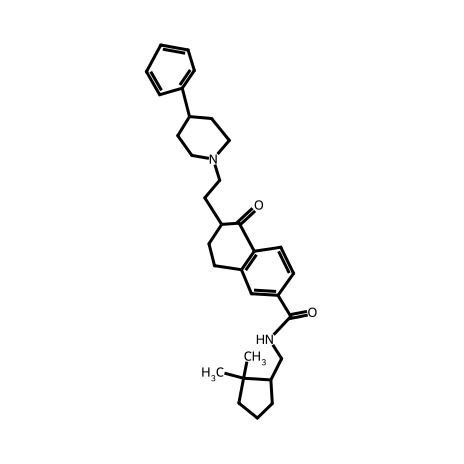 CC1(C)CCCC1CNC(=O)c1ccc2c(c1)CCC(CCN1CCC(c3ccccc3)CC1)C2=O